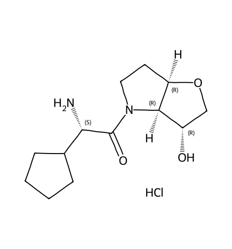 Cl.N[C@H](C(=O)N1CC[C@H]2OC[C@H](O)[C@H]21)C1CCCC1